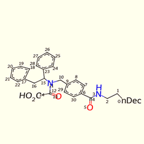 CCCCCCCCCCCCNC(=O)c1ccc(CN(C(=O)C(=O)O)C(Cc2ccccc2)c2ccccc2)cc1